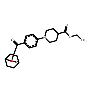 CCOC(=O)C1CCN(c2ccc(C(=O)N3CC4CCC(CC4)C3)cc2)CC1